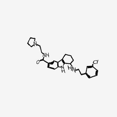 O=C(NCCN1CCCC1)c1ccc2[nH]c3c(c2c1)CCCC3NCCc1cccc(Cl)c1